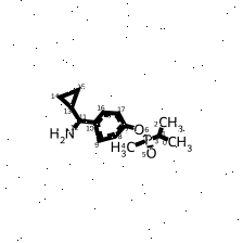 CC(C)P(C)(=O)Oc1ccc(C(N)C2CC2)cc1